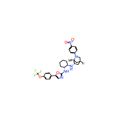 O=[N+]([O-])c1ccc(N2C[C@@H]3C[C@H](N[C@@H]4CCCC[C@H]4Nc4ncc(-c5ccc(OC(F)(F)F)cc5)o4)[C@H]2C3)cc1